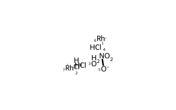 Cl.Cl.Cl.O.O=[N+]([O-])[O-].[Rh].[Rh]